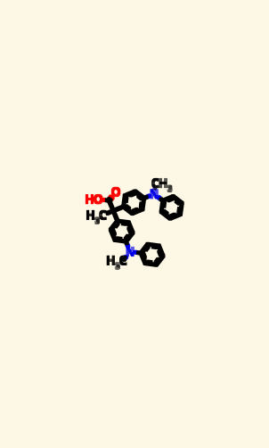 CN(c1ccccc1)c1ccc(C(C)(C(=O)O)c2ccc(N(C)c3ccccc3)cc2)cc1